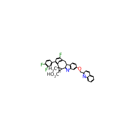 CC12c3cc(c(F)cc3-c3ccc(F)c(F)c3)CC3C(=Nc4cc(OCc5ccc6ccccc6n5)ccc43)C1[C@@H]2C(=O)O